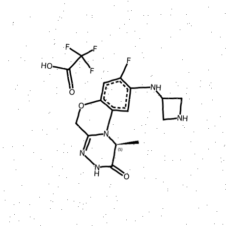 C[C@H]1C(=O)NN=C2COc3cc(F)c(NC4CNC4)cc3N21.O=C(O)C(F)(F)F